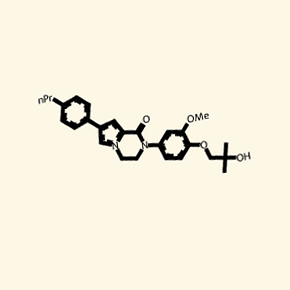 CCCc1ccc(-c2cc3n(c2)CCN(c2ccc(OCC(C)(C)O)c(OC)c2)C3=O)cc1